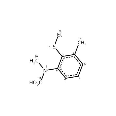 CCSc1c(C)cccc1N(C)C(=O)O